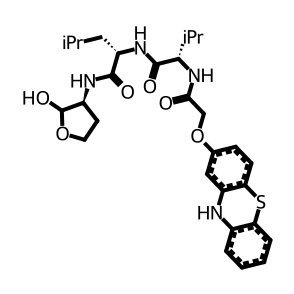 CC(C)C[C@H](NC(=O)[C@@H](NC(=O)COc1ccc2c(c1)Nc1ccccc1S2)C(C)C)C(=O)N[C@H]1CCOC1O